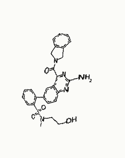 CN(CCO)S(=O)(=O)c1ccccc1-c1ccc2nc(N)nc(C(=O)N3Cc4ccccc4C3)c2c1